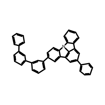 c1ccc(-c2cccc(-c3cccc(-c4ccc5c(c4)c4cc(-c6ccccc6)cc6c7ccccc7n5c64)c3)c2)cc1